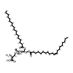 CCCCCCCC/C=C\CCCCCCCCCC(=O)OC[C@H](COP(=O)(O)OC[C@H](N)C(=O)O)OC(=O)CCCCCCCCCCCCCCCCC